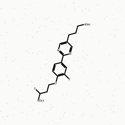 CCCCCCCCCCCCCc1cnc(-c2ccc(OCCC(F)CCCCCCCC)c(F)c2)nc1